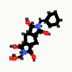 O=c1c2cc3c(=O)n(Cc4ccccc4)c(=O)c3cc2c(=O)n1CO